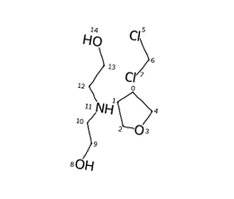 C1CCOC1.ClCCl.OCCNCCO